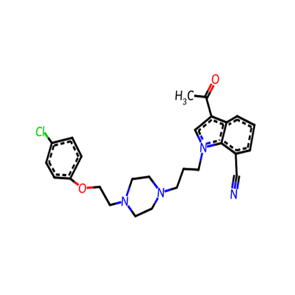 CC(=O)c1cn(CCCN2CCN(CCOc3ccc(Cl)cc3)CC2)c2c(C#N)cccc12